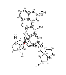 C=CC(=O)N1[C@@H]2CC[C@H]1CN(c1nc(OC[C@@]34CCCN3C[C@H](F)C4)nc3c(F)c(-c4cc(O)cc5cccc(Cl)c45)ncc13)C2